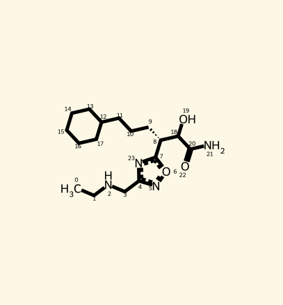 CCNCc1noc([C@H](CCCC2CCCCC2)C(O)C(N)=O)n1